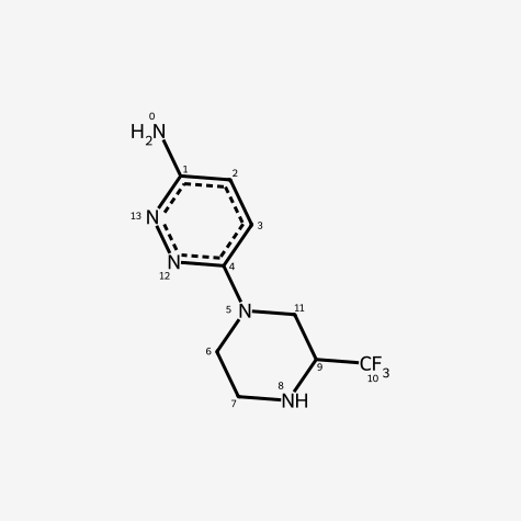 Nc1ccc(N2CCNC(C(F)(F)F)C2)nn1